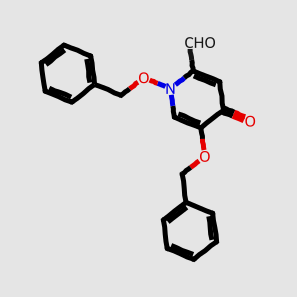 O=Cc1cc(=O)c(OCc2ccccc2)cn1OCc1ccccc1